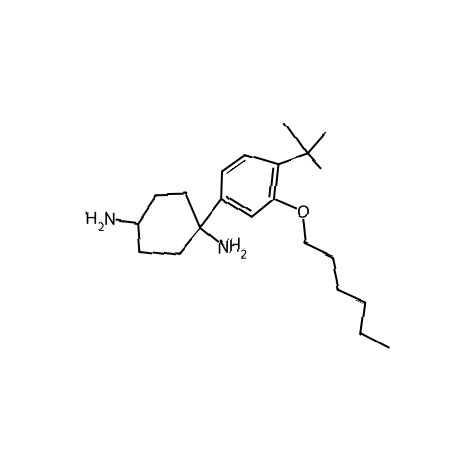 CCCCCCOc1cc(C2(N)CCC(N)CC2)ccc1C(C)(C)C